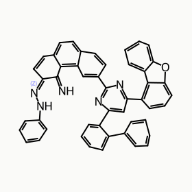 N=C1/C(=N\Nc2ccccc2)C=Cc2ccc3ccc(-c4nc(-c5ccccc5-c5ccccc5)cc(-c5cccc6oc7ccccc7c56)n4)cc3c21